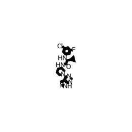 O=C(N[C@@H]1CCCN(c2ncnc3[nH]ncc23)C1)[C@H](Nc1cc(F)cc(Cl)c1)C1CC1